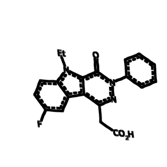 CCn1c2ccc(F)cc2c2c(CC(=O)O)nn(-c3ccccc3)c(=O)c21